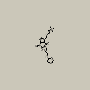 CCN1c2ncn(COCC[Si](C)(C)C)c2C(=O)N(CCCOC2CCCCO2)C1O